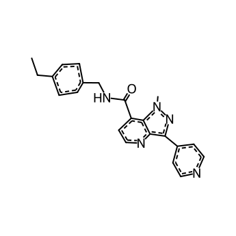 CCc1ccc(CNC(=O)c2ccnc3c(-c4ccncc4)nn(C)c23)cc1